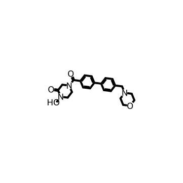 O=C1CN(C(=O)c2ccc(-c3ccc(CN4CCOCC4)cc3)cc2)CCN1O